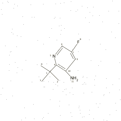 CC(C)(C)c1ncc(F)cc1N